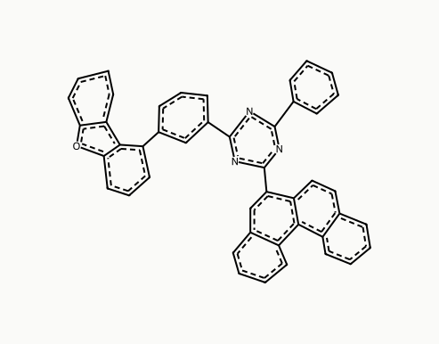 c1ccc(-c2nc(-c3cccc(-c4cccc5oc6ccccc6c45)c3)nc(-c3cc4ccccc4c4c3ccc3ccccc34)n2)cc1